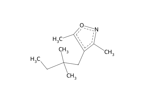 CCC(C)(C)Cc1c(C)noc1C